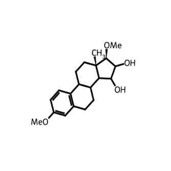 COc1ccc2c(c1)CCC1C2CC[C@@]2(C)C1C(O)C(O)[C@@H]2OC